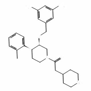 Cc1ccccc1[C@@H]1CCN(C(=O)CC2CCNCC2)C[C@@H]1OCc1cc(C(F)(F)F)cc(C(F)(F)F)c1